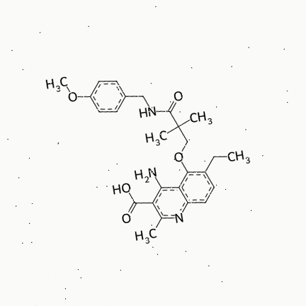 CCc1ccc2nc(C)c(C(=O)O)c(N)c2c1OCC(C)(C)C(=O)NCc1ccc(OC)cc1